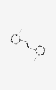 Cn1cccc1/C=C/c1cccn1C